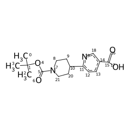 CC(C)(C)OC(=O)N1CCC(c2ccc(C(=O)O)cn2)CC1